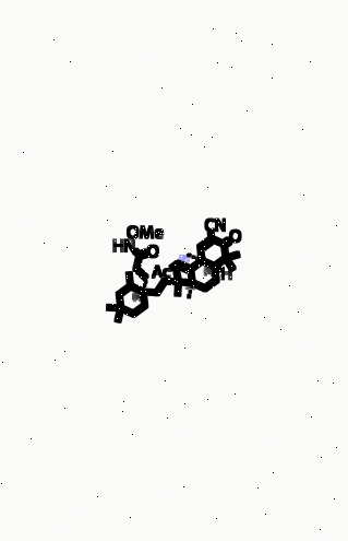 CONC(=O)CC[C@]1(CCC(C)(C)[C@]2(C)CC[C@H]3C(C)(C)C(=O)C(C#N)=C[C@]3(C)/C2=C/C(C)=O)CCC(C)(C)CC1C